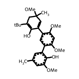 COc1cc(OC)c(-c2cc(C)cc(OC)c2O)cc1C1=CC(C)(OC)CC(C(C)(C)C)=C1O